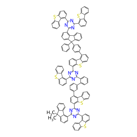 CC1(C)c2ccccc2-c2c(-c3nc(-c4ccc(-c5cccc(-c6ccccc6-c6nc(-c7cccc8c7sc7cccc(-c9ccc(C%10(c%11ccccc%11)c%11ccccc%11-c%11c(-c%12nc(-c%13cccc%14c%13sc%13ccccc%13%14)nc(-c%13cccc%14sc%15ccccc%15c%13%14)n%12)cccc%11%10)cc9)c78)nc(-c7cccc8sc9ccccc9c78)n6)c5)c5c4sc4ccccc45)nc(-c4cccc5sc6ccccc6c45)n3)cccc21